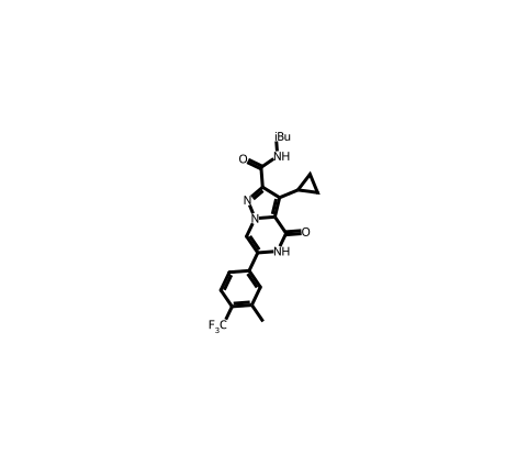 CCC(C)NC(=O)c1nn2cc(-c3ccc(C(F)(F)F)c(C)c3)[nH]c(=O)c2c1C1CC1